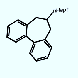 CCCCCCCC1Cc2ccccc2-c2ccccc2C1